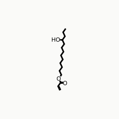 C=CC(=O)OCCCCCCCCCC(O)CCC